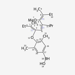 CC/C(C)=C(/C=C(\C(OC)=C(\C)CC)C(C)C)Oc1c(C)cc(BO)cc1C